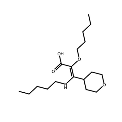 CCCCCNC(=C(OCCCCC)C(=O)O)C1CCOCC1